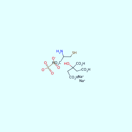 NC(CS)C(=O)O.O=C(O)CC(O)(CC(=O)O)C(=O)O.O=S([O-])S(=O)(=O)[O-].[Na+].[Na+]